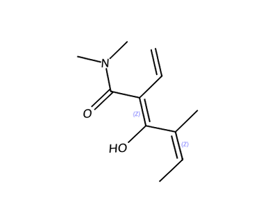 C=C/C(C(=O)N(C)C)=C(O)\C(C)=C/C